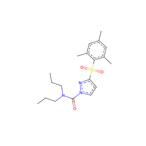 CCCN(CCC)C(=O)n1ccc(S(=O)(=O)c2c(C)cc(C)cc2C)n1